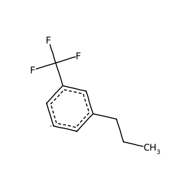 CCCc1c[c]cc(C(F)(F)F)c1